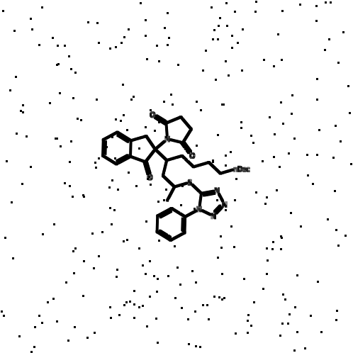 CCCCCCCCCCCCCCC(CC(C)Sc1nnnn1-c1ccccc1)C1(N2C(=O)CCC2=O)Cc2ccccc2C1=O